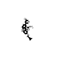 NC1=N[C@]2(CO1)c1cc(-c3cncc(Cl)c3)ccc1O[C@H]1CCC(OCC3CC3)C[C@@H]12